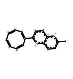 Ic1ccc2nc(C3=C/C=C\C=C/C=C\3)ccc2n1